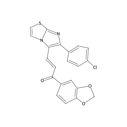 O=C(C=Cc1c(-c2ccc(Cl)cc2)nc2sccn12)c1ccc2c(c1)OCO2